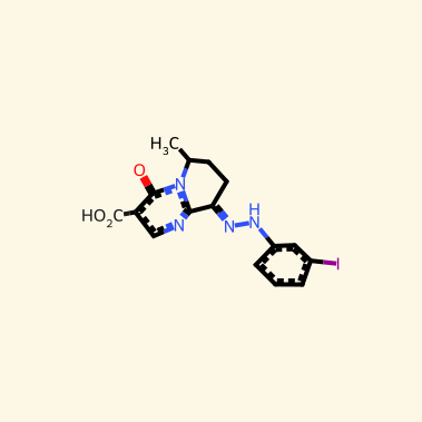 CC1CC/C(=N\Nc2cccc(I)c2)c2ncc(C(=O)O)c(=O)n21